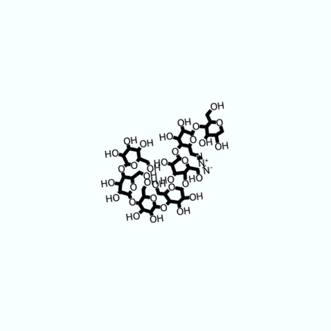 [N-]=[N+]=NCC1OC(OC2C(CO)OCC(O)C2O)C(O)C(O)C1OC1OC(CO)C(OC2OC(CO)C(OC3OC(CO)C(OC4OC(CO)C(OC5OC(CO)C(O)C(O)C5O)C(O)C4O)C(O)C3O)C(O)C2O)C(O)C1O